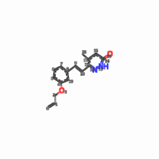 C=CCOc1cccc(C=Cc2n[nH]c(=O)cc2C)c1